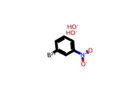 [B+2]c1cccc([N+](=O)[O-])c1.[OH-].[OH-]